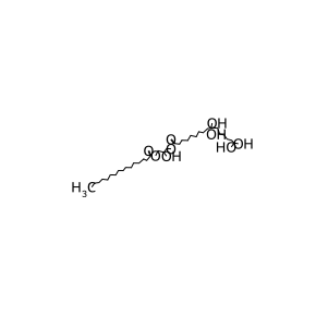 CCCCCCCCCCCCCCCC(=O)OCC(O)COC(=O)CCCCCCCCC(O)(O)CCCCCC(O)O